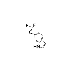 FC(F)Oc1ccc2cc[nH]c2c1